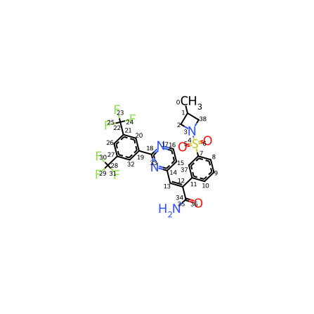 CC1CN(S(=O)(=O)c2cccc(/C(=C\c3ccnc(-c4cc(C(F)(F)F)cc(C(F)(F)F)c4)n3)C(N)=O)c2)C1